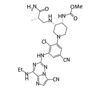 CCNc1nc(Nc2cc(C#N)cc(N3CC[C@@H](NC(=O)OC)[C@@H](NC[C@H](C)C(N)=O)C3)c2Cl)nn2c(C#N)cnc12